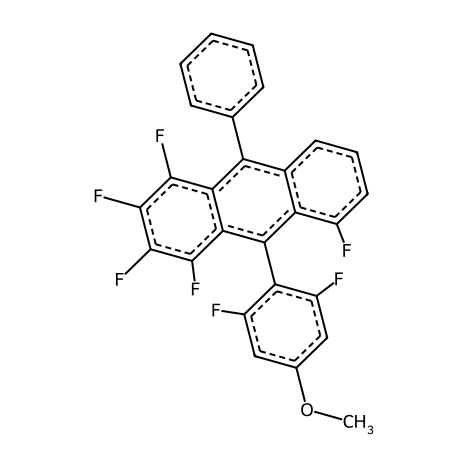 COc1cc(F)c(-c2c3c(F)cccc3c(-c3ccccc3)c3c(F)c(F)c(F)c(F)c23)c(F)c1